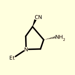 CCN1C[C@@H](N)[C@H](C#N)C1